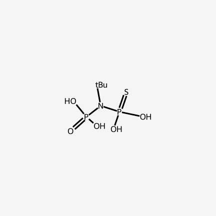 CC(C)(C)N(P(=O)(O)O)P(O)(O)=S